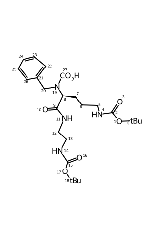 CC(C)(C)OC(=O)NCCC[C@@H](C(=O)NCCNC(=O)OC(C)(C)C)N(Cc1ccccc1)C(=O)O